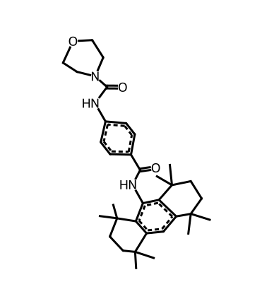 CC1(C)CCC(C)(C)c2c1cc1c(c2NC(=O)c2ccc(NC(=O)N3CCOCC3)cc2)C(C)(C)CCC1(C)C